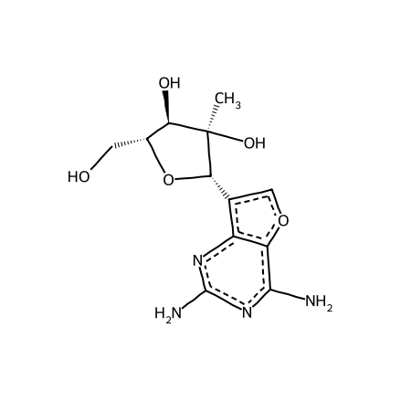 C[C@@]1(O)[C@H](O)[C@@H](CO)O[C@H]1c1coc2c(N)nc(N)nc12